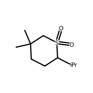 CC(C)C1CCC(C)(C)CS1(=O)=O